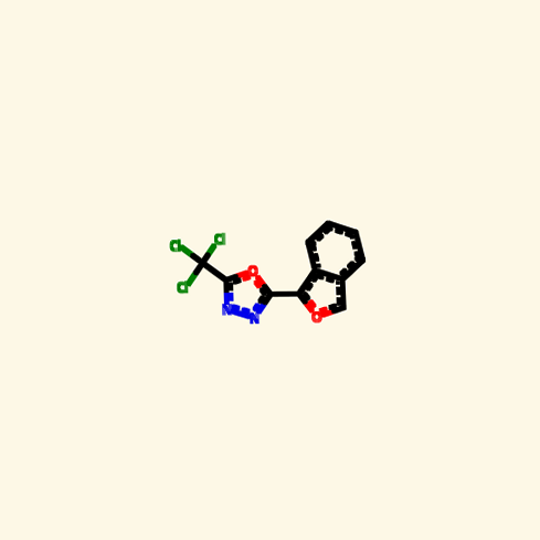 ClC(Cl)(Cl)c1nnc(-c2occ3ccccc23)o1